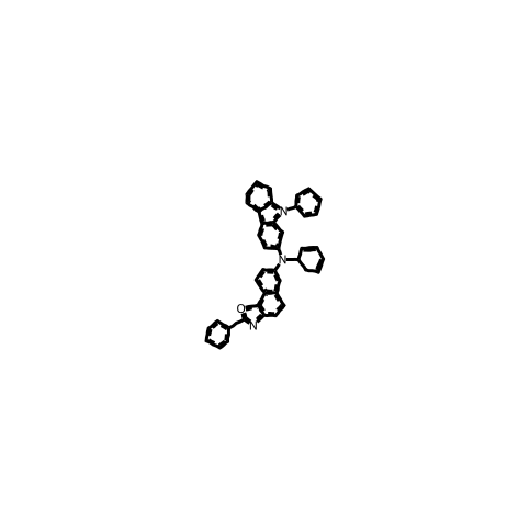 C1=CCC(N(c2ccc3c(ccc4nc(-c5ccccc5)oc43)c2)c2ccc3c4ccccc4n(-c4ccccc4)c3c2)C=C1